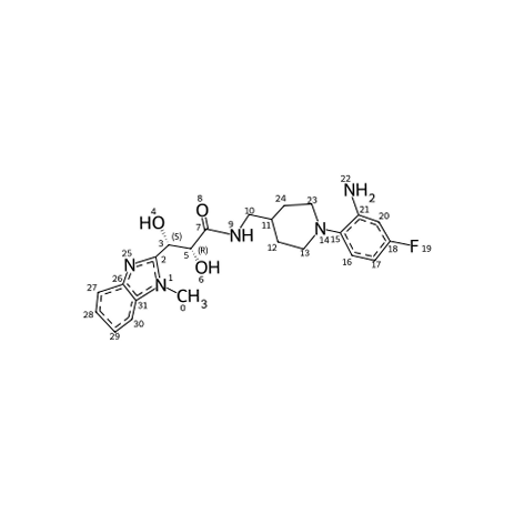 Cn1c([C@H](O)[C@@H](O)C(=O)NCC2CCN(c3ccc(F)cc3N)CC2)nc2ccccc21